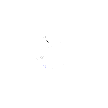 COC1CC2CCC[C@H]1CCN(C)C2